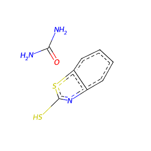 NC(N)=O.Sc1nc2ccccc2s1